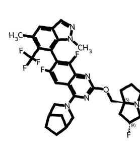 Cc1cc2cnn(C)c2c(-c2c(F)cc3c(N4CC5CCC(C5)C4)nc(OC[C@@]45CCCN4C[C@H](F)C5)nc3c2F)c1C(F)(F)F